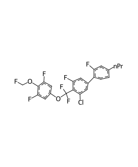 CCCc1ccc(-c2cc(F)c(C(F)(F)Oc3cc(F)c(OCF)c(F)c3)c(Cl)c2)c(F)c1